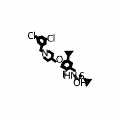 ON(NCc1cc(C2CC2)c(OCC2CCN(Cc3cc(Cl)cc(Cl)c3)CC2)cc1F)SC1CC1